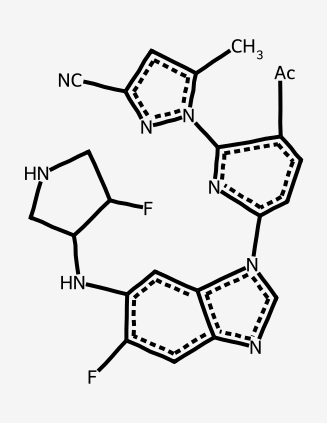 CC(=O)c1ccc(-n2cnc3cc(F)c(NC4CNCC4F)cc32)nc1-n1nc(C#N)cc1C